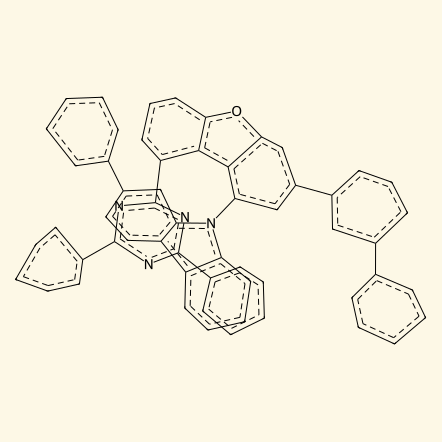 c1ccc(-c2cccc(-c3cc(-n4c5ccccc5c5ccc(-c6ccccc6)cc54)c4c(c3)oc3cccc(-c5nc(-c6ccccc6)nc(-c6ccccc6)n5)c34)c2)cc1